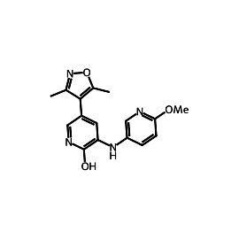 COc1ccc(Nc2cc(-c3c(C)noc3C)cnc2O)cn1